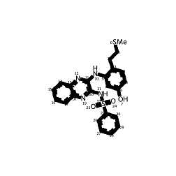 CSCCc1ccc(O)cc1Nc1nc2ccccc2nc1NS(=O)(=O)c1ccccc1